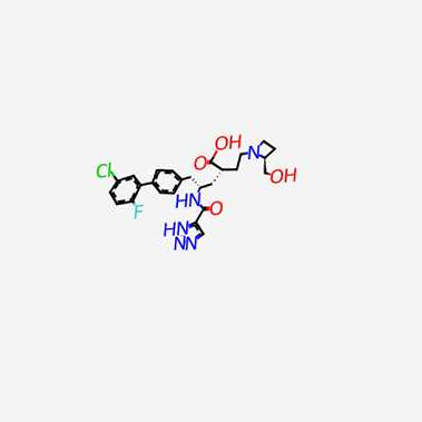 O=C(N[C@H](Cc1ccc(-c2cc(Cl)ccc2F)cc1)C[C@@H](CCN1CC[C@H]1CO)C(=O)O)c1cnn[nH]1